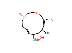 CO[C@H]1/C=C/CC[S+]([O-])CCOC/C(C)=C\[C@@H](C)[C@@H]1O